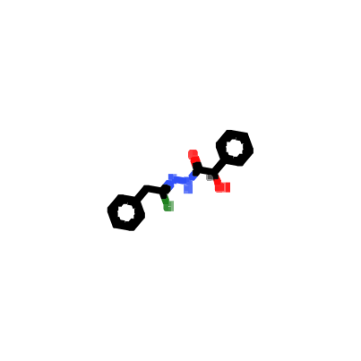 O=C(NN=C(Cl)Cc1ccccc1)[C@H](O)c1ccccc1